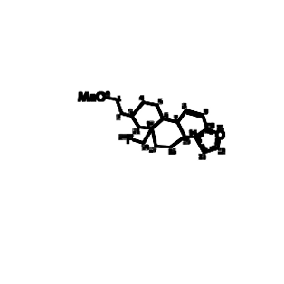 COCCC1CCC2C3C=Cc4occc4C3CCC2(CF)C1